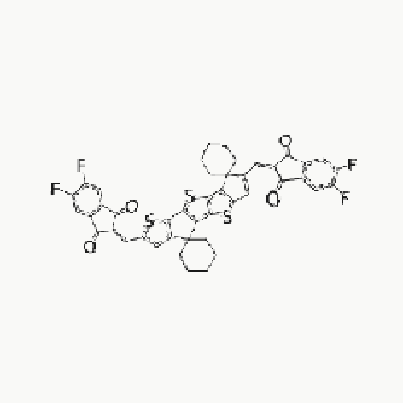 O=C1C(=CC2=Cc3sc4c5c(sc4c3C23CCCCC3)-c2sc(C=C3C(=O)c4cc(F)c(F)cc4C3=O)cc2C52CCCCC2)C(=O)c2cc(F)c(F)cc21